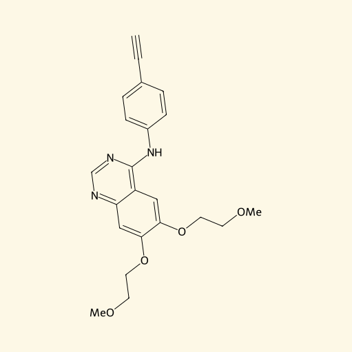 C#Cc1ccc(Nc2ncnc3cc(OCCOC)c(OCCOC)cc23)cc1